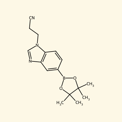 CC1(C)OB(c2ccc3c(c2)ncn3CCC#N)OC1(C)C